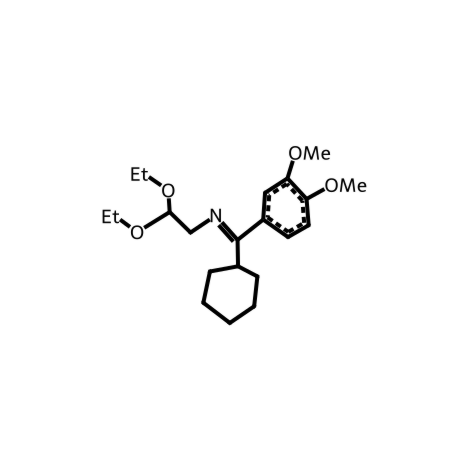 CCOC(C/N=C(/c1ccc(OC)c(OC)c1)C1CCCCC1)OCC